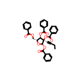 CCC#C[C@]1(OC(=O)c2ccccc2)[C@@H](OC(=O)c2ccccc2)O[C@H](COC(=O)c2ccccc2)[C@H]1OC(=O)c1ccccc1